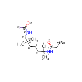 CC(C)(C)CC(=O)NC(C)(C)CCCC(C)(C)CNC(=O)I